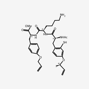 C=CCOc1ccc(C[C@H](NC(=O)[C@@H](CCCCN)NC(=O)[C@H](Cc2ccc(O[C@H](I)C=C)cc2S)NC(C)=O)C(=O)OC)cc1